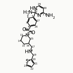 NC1=NC(N)(c2ccc(S(=O)(=O)N3CCCC(CNCc4cccs4)C3)cc2)NC=C1